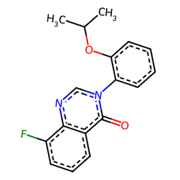 CC(C)Oc1ccccc1-n1cnc2c(F)cccc2c1=O